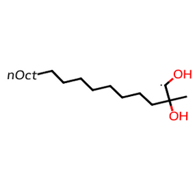 CCCCCCCCCCCCCCCCC(C)(O)[CH]O